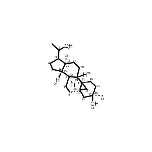 CC(O)C1CC[C@H]2[C@@H]3CC[C@]45C[C@](C)(O)CC[C@]4(C5)[C@H]3CC[C@]12C